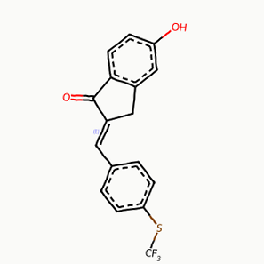 O=C1/C(=C/c2ccc(SC(F)(F)F)cc2)Cc2cc(O)ccc21